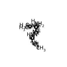 CCN1CCN(Cc2ccc(Nc3ncc(F)c(-c4cc(F)c(N)c(NC5CCC(C)(C)C5)c4)n3)nc2)CC1